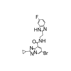 O=C(NCCc1nc2ccc(F)cc2[nH]1)c1cc(Br)cn2nc(C3CC3)nc12